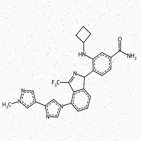 Cn1cc(-c2cn(-c3cccc4c3C(C(F)(F)F)=NC4c3ccc(C(N)=O)cc3NC3CCC3)cn2)cn1